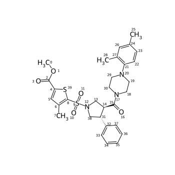 COC(=O)c1cc(C)c(S(=O)(=O)N2C[C@@H](C(=O)N3CCN(c4ccc(C)cc4C)CC3)[C@H](c3ccccc3)C2)s1